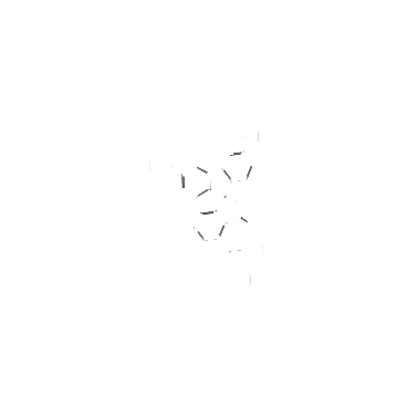 O=C1OC(c2ccc(O)cc2)(c2ccc(O)cc2)c2cccc(C(O)CO)c21